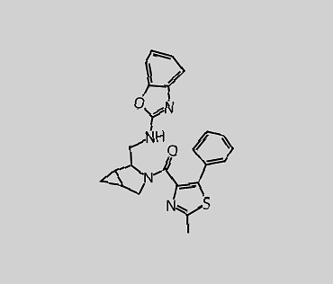 Cc1nc(C(=O)N2CC3CC3C2CNc2nc3ccccc3o2)c(-c2ccccc2)s1